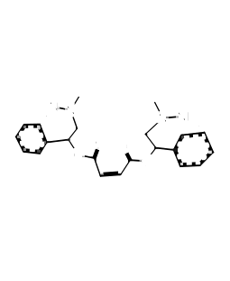 CN(N)CC(OC(=O)/C=C\C(=O)OC(CN(C)N)c1ccccc1)c1ccccc1